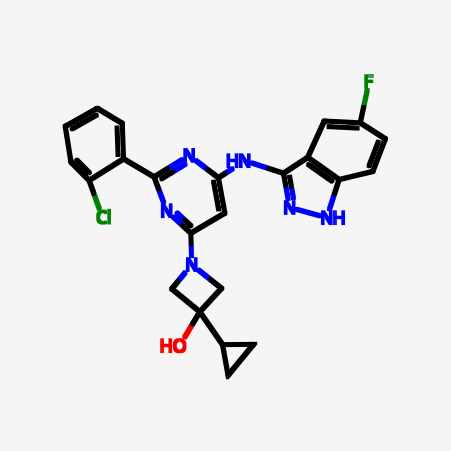 OC1(C2CC2)CN(c2cc(Nc3n[nH]c4ccc(F)cc34)nc(-c3ccccc3Cl)n2)C1